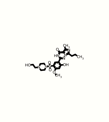 CCCc1nc(C)c2c(=O)[nH]c(-c3cc(S(=O)(=O)N4CCN(CCO)CC4)c(OC)cc3O)nn12